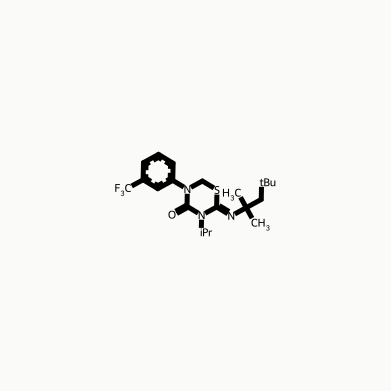 CC(C)N1C(=O)N(c2cccc(C(F)(F)F)c2)CS/C1=N\C(C)(C)CC(C)(C)C